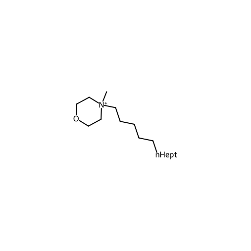 CCCCCCCCCCCC[N+]1(C)CCOCC1